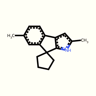 Cc1ccc2c(c1)C1(CCCC1)c1[nH]c(C)cc1-2